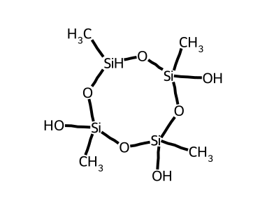 C[SiH]1O[Si](C)(O)O[Si](C)(O)O[Si](C)(O)O1